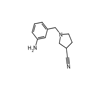 N#CC1CCN(Cc2cccc(N)c2)C1